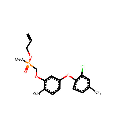 C=CCOP(=O)(COc1cc(Oc2ccc(C(F)(F)F)cc2Cl)ccc1[N+](=O)[O-])OC